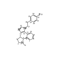 CN1CCC[C@H]1c1ccccc1-c1cncn1CCc1ccc(F)cc1